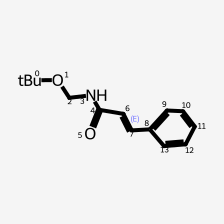 CC(C)(C)OCNC(=O)/C=C/c1ccccc1